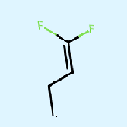 [CH2]CC=C(F)F